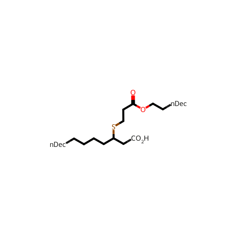 CCCCCCCCCCCCCCC(CC(=O)O)SCCC(=O)OCCCCCCCCCCCC